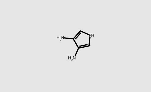 Nc1[c][pH]cc1N